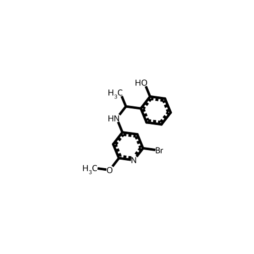 COc1cc(NC(C)c2ccccc2O)cc(Br)n1